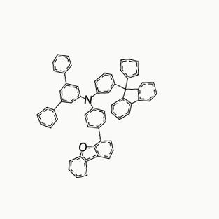 c1ccc(-c2cc(-c3ccccc3)cc(N(c3ccc(-c4cccc5c4oc4ccccc45)cc3)c3cccc(C4(c5ccccc5)c5ccccc5-c5ccccc54)c3)c2)cc1